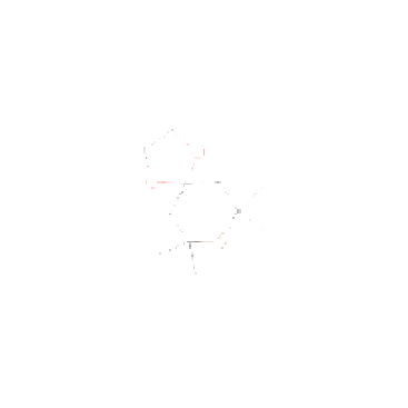 CC1(C)CC2(CC(C)(C)S1)OCCO2